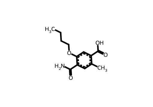 CCCCOc1cc(C(=O)O)c(C)cc1C(N)=O